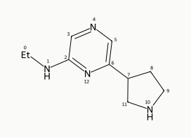 CCNc1cncc(C2CCNC2)n1